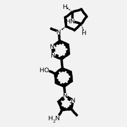 Cc1nn(-c2ccc(-c3ccc(N(C)[C@@H]4C[C@H]5CC[C@@H](C4)N5)nn3)c(O)c2)cc1N